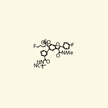 CNC(=O)c1c(-c2ccc(F)cc2)oc2cc(N(CCCF)S(C)(=O)=O)c(-c3cccc(C(=O)NC(C)(C)C#N)c3)cc12